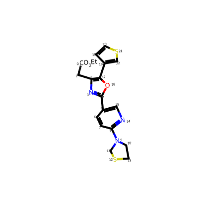 CCOC(=O)Cc1nc(-c2ccc(N3CCSC3)nc2)oc1-c1ccsc1